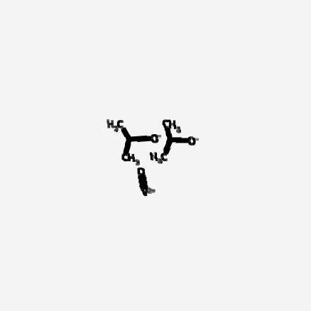 CC(C)[O-].CC(C)[O-].[O]=[V+2]